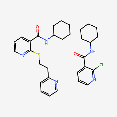 O=C(NC1CCCCC1)c1cccnc1Cl.O=C(NC1CCCCC1)c1cccnc1SCCc1ccccn1